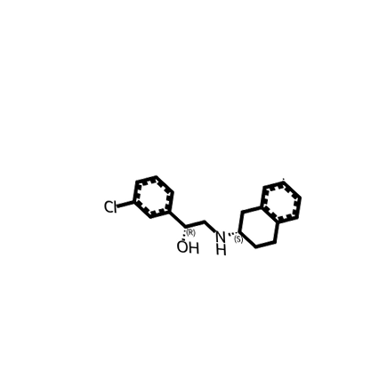 O[C@@H](CN[C@H]1CCc2cc[c]cc2C1)c1cccc(Cl)c1